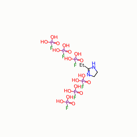 CCC1=NCCN1.O=P(O)(O)F.O=P(O)(O)F.O=P(O)(O)F.O=P(O)(O)F.O=P(O)(O)F.O=P(O)(O)F